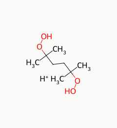 CC(C)(CCC(C)(C)OO)OO.[H+]